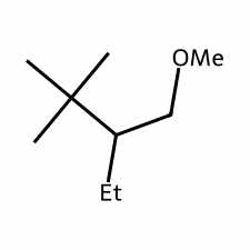 [CH2]CC(COC)C(C)(C)C